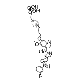 COc1cc2c(Nc3ncc(CC(=O)Nc4cccc(F)c4)s3)ccnc2cc1OCCCN1CCN(CCOP(=O)(O)O)CC1